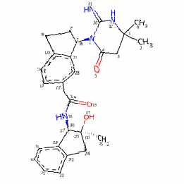 CC1(C)CC(=O)N([C@@H]2CCc3ccc(C(=O)N[C@@H]4c5ccccc5C[C@]4(C)O)cc32)C(=N)N1